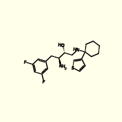 N[C@@H](Cc1cc(F)cc(F)c1)[C@H](O)CNC1(c2ccsc2)CCCCC1